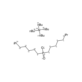 CC(C)CCCCCP(=O)([O-])CCCCCC(C)C.CCCC[N+](CCCC)(CCCC)CCCC